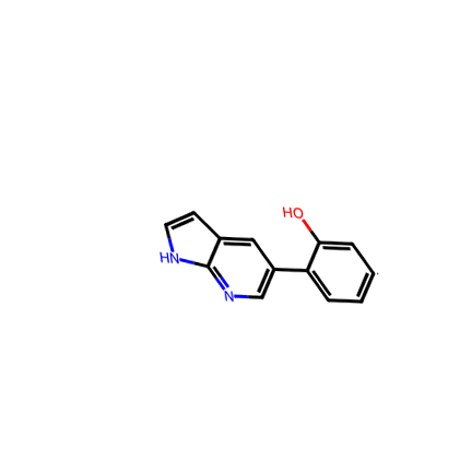 Oc1c[c]ccc1-c1cnc2[nH]ccc2c1